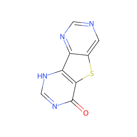 O=c1nc[nH]c2c1sc1cncnc12